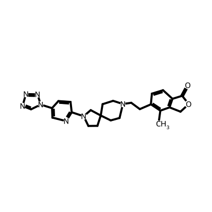 Cc1c(CCN2CCC3(CC2)CCN(c2ccc(-n4cnnn4)cn2)C3)ccc2c1COC2=O